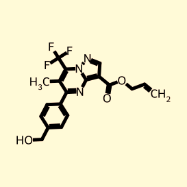 C=CCOC(=O)c1cnn2c(C(F)(F)F)c(C)c(-c3ccc(CO)cc3)nc12